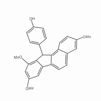 COc1cc(OC)c2c(c1)-c1ccc3cc(OC)ccc3c1C2c1ccc(O)cc1